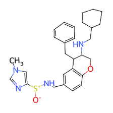 Cn1cnc([S+]([O-])NCc2ccc3c(c2)C(Cc2ccccc2)C(NCC2CCCCC2)CO3)c1